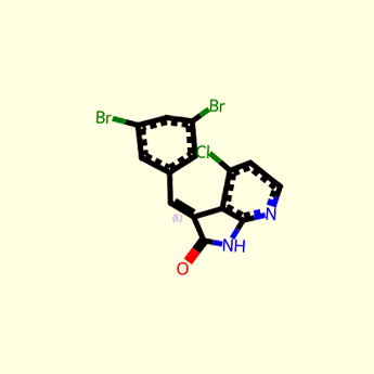 O=C1Nc2nccc(Cl)c2/C1=C\c1cc(Br)cc(Br)c1